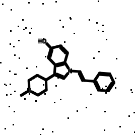 CN1CCC(c2cn(C=Cc3ccccc3)c3ccc(O)cc23)CC1